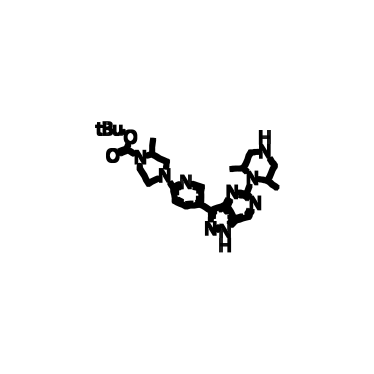 CC1CN(c2ccc(-c3n[nH]c4cnc(N5C(C)CNCC5C)nc34)cn2)CCN1C(=O)OC(C)(C)C